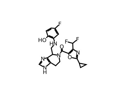 O=C(c1oc(C2CC2)nc1C(F)F)N1CCc2[nH]cnc2C1CNc1cc(F)ccc1O